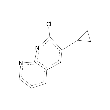 Clc1nc2ncccc2cc1C1CC1